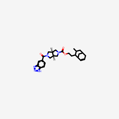 CC1CC2CC=CC(C2)C1CCOC(=O)N1C[C@@H]2CN(C(=O)c3ccc4[nH]nnc4c3)C[C@@H]2C1